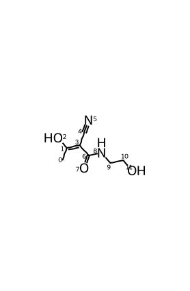 CC(O)=C(C#N)C(=O)NCCO